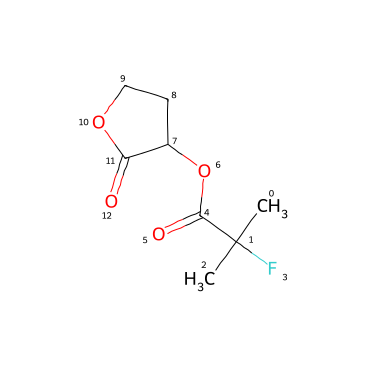 CC(C)(F)C(=O)OC1CCOC1=O